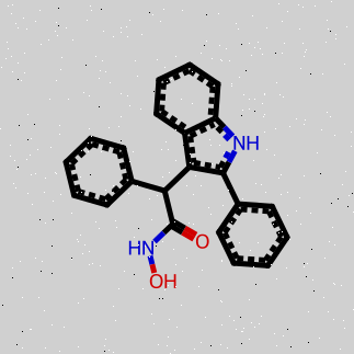 O=C(NO)C(c1ccccc1)c1c(-c2ccccc2)[nH]c2ccccc12